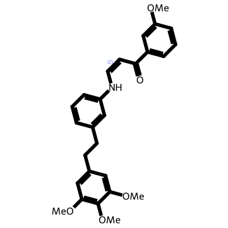 COc1cccc(C(=O)/C=C\Nc2cccc(CCc3cc(OC)c(OC)c(OC)c3)c2)c1